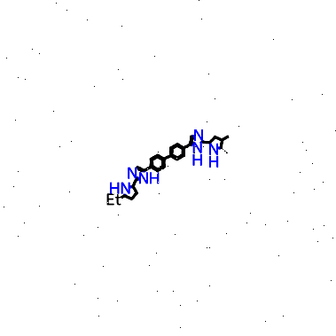 CCC1CCC(c2ncc(-c3ccc(-c4ccc(-c5cnc(C6CC(C)[C@H](C)N6)[nH]5)cc4)cc3)[nH]2)N1